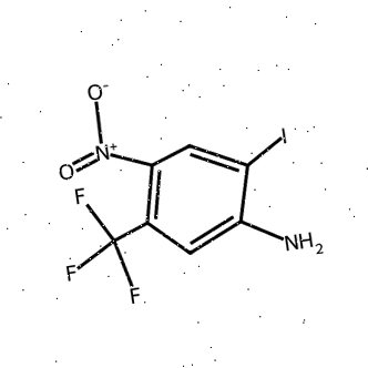 Nc1cc(C(F)(F)F)c([N+](=O)[O-])cc1I